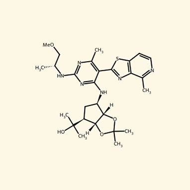 COC[C@@H](C)Nc1nc(C)c(-c2nc3c(C)nccc3s2)c(N[C@@H]2C[C@H](C(C)(C)O)[C@H]3OC(C)(C)O[C@H]32)n1